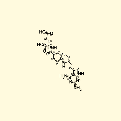 CCC(CCc1c[nH]c2nc(N)nc(N)c12)Nc1ccc(C(=O)N[C@@H](CCC(=O)O)C(=O)O)cc1